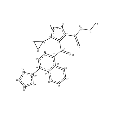 CCOC(=O)c1noc(C2CC2)c1C(=O)c1ccc(-n2cncn2)c2ccccc12